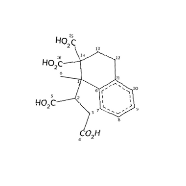 CC1(C(CC(=O)O)C(=O)O)c2ccccc2CCC1(C(=O)O)C(=O)O